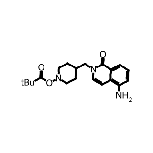 CC(C)(C)C(=O)ON1CCC(Cn2ccc3c(N)cccc3c2=O)CC1